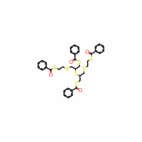 O=C(SCCSCC(CSC(=O)c1ccccc1)SC(CSCCSC(=O)c1ccccc1)CSC(=O)c1ccccc1)c1ccccc1